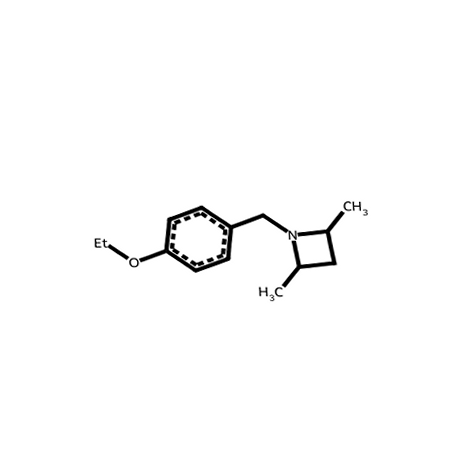 CCOc1ccc(CN2C(C)CC2C)cc1